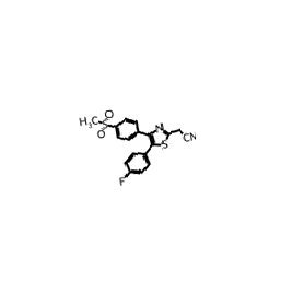 CS(=O)(=O)c1ccc(-c2nc(CC#N)sc2-c2ccc(F)cc2)cc1